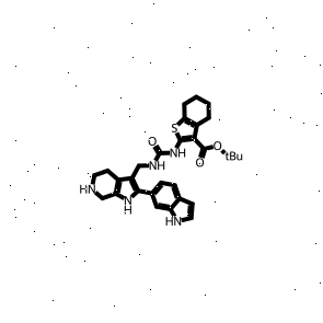 CC(C)(C)OC(=O)c1c(NC(=O)NCc2c(-c3ccc4cc[nH]c4c3)[nH]c3c2CCNC3)sc2c1CCCC2